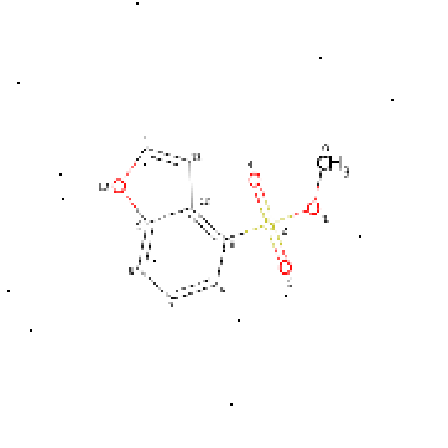 COS(=O)(=O)c1cccc2occc12